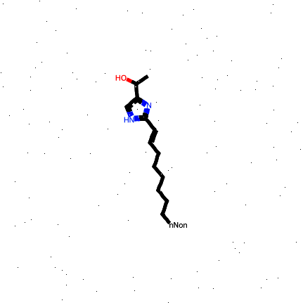 CCCCCCCCCCCCCCCC=Cc1nc(C(C)O)c[nH]1